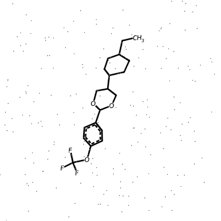 CCC1CCC(C2COC(c3ccc(OC(F)(F)F)cc3)OC2)CC1